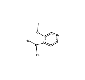 COc1cnccc1B(O)O